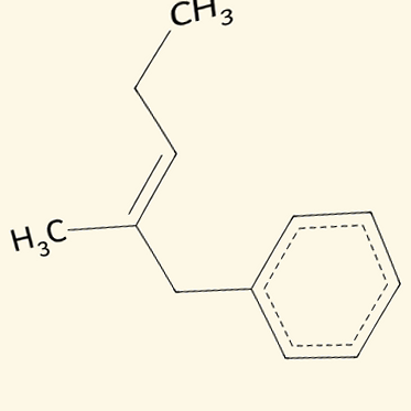 CCC=C(C)Cc1ccccc1